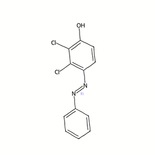 Oc1ccc(/N=N/c2ccccc2)c(Cl)c1Cl